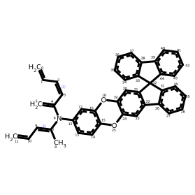 C=C/C=C\C(=C)N(/C(C)=C/C=C)c1ccc2c(c1)Oc1cc3c(cc1O2)-c1ccccc1C31c2ccccc2-c2ccccc21